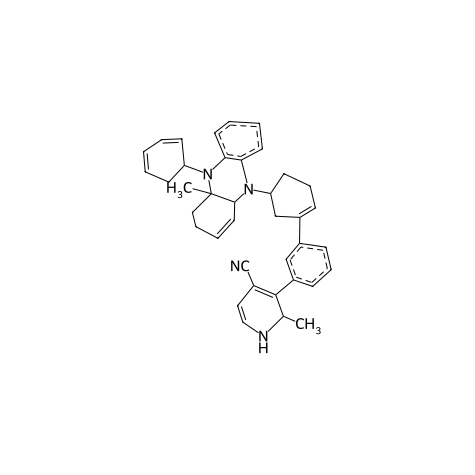 CC1NC=CC(C#N)=C1c1cccc(C2=CCCC(N3c4ccccc4N(C4C=CC=CC4)C4(C)CCC=CC34)C2)c1